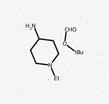 CC(C)(C)OC=O.CCN1CCC(N)CC1